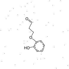 O=[C]CCOc1ccccc1O